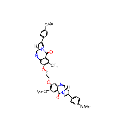 CNc1ccc(C2=CN3C(=O)c4cc(OC)c(OCCCOc5cc6c(cc5C)C(=O)N5C=C(c7ccc(OC)cc7)C[C@H]5C=N6)cc4N=C[C@@H]3C2)cc1